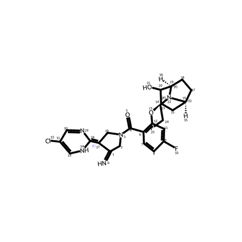 N=C1CN(C(=O)c2ccc(F)cc2O[C@@H]2C[C@@H]3CC[C@H](C2O)N3CCF)C/C1=C1\N=CC(Cl)=CN1